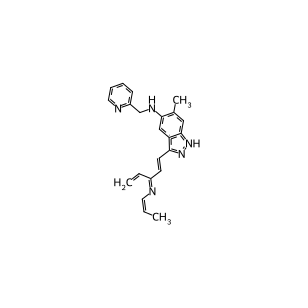 C=CC(/C=C/c1n[nH]c2cc(C)c(NCc3ccccn3)cc12)=N\C=C/C